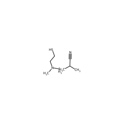 CC(C)C#N.CN(C)CCS